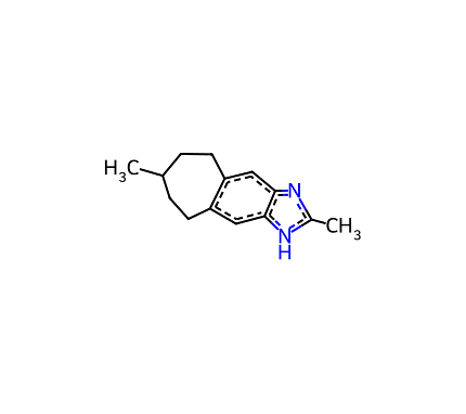 Cc1nc2cc3c(cc2[nH]1)CCC(C)CC3